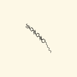 CCCCCCCCc1ccc(N=Nc2ccc(N=Nc3ccc(N4CCSC4)cc3)cc2)cc1